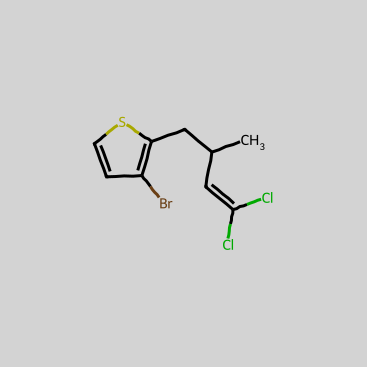 CC(C=C(Cl)Cl)Cc1sccc1Br